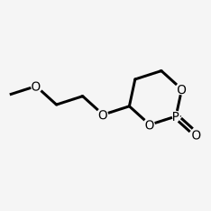 COCCOC1CCO[P](=O)O1